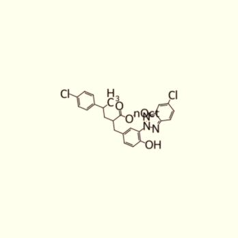 CCCCCCCCOC(=O)C(Cc1ccc(O)c(-n2nc3ccc(Cl)cc3n2)c1)CC(C)c1ccc(Cl)cc1